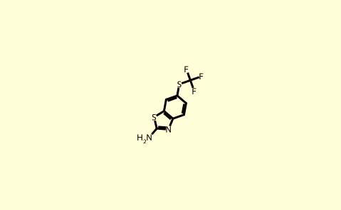 Nc1nc2ccc(SC(F)(F)F)cc2s1